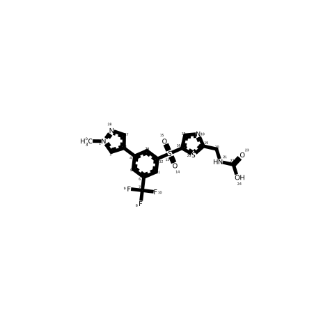 Cn1cc(-c2cc(C(F)(F)F)cc(S(=O)(=O)c3cnc(CNC(=O)O)s3)c2)cn1